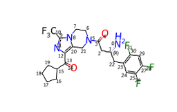 N[C@@H](CC(=O)N1CCn2c(C(F)(F)F)nc(C(=O)C3CCCC3)c2C1)Cc1cc(F)c(F)cc1F